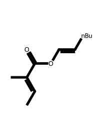 CC=C(C)C(=O)OC=CCCCC